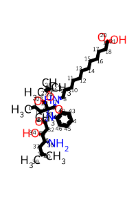 CC[C@H](C)[C@](C(=O)NCCCCCCCCCCCC(=O)O)(C(=O)OC(C)(C)C)N(C(=O)C[C@H](O)[C@@H](N)CC(C)C)c1ccccc1